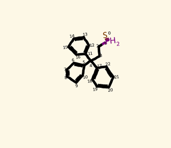 S=[PH2]CCC(c1ccccc1)(c1ccccc1)c1ccccc1